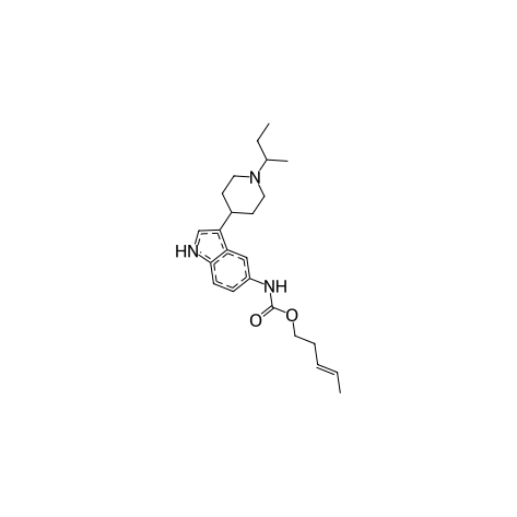 CC=CCCOC(=O)Nc1ccc2[nH]cc(C3CCN(C(C)CC)CC3)c2c1